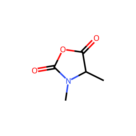 CC1C(=O)OC(=O)N1C